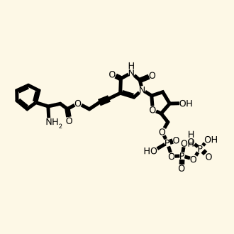 NC(CC(=O)OCC#Cc1cn(C2CC(O)C(COP(=O)(O)OP(=O)(O)OP(=O)(O)O)O2)c(=O)[nH]c1=O)c1ccccc1